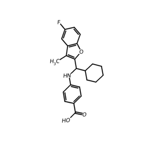 Cc1c(C(Nc2ccc(C(=O)O)cc2)C2CCCCC2)oc2ccc(F)cc12